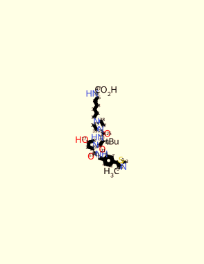 Cc1ncsc1-c1ccc(CNC(=O)[C@@H]2C[C@@H](O)CN2C(=O)[C@@H](NC(=O)N2CCN(CCCCCCNC(=O)O)CC2)C(C)(C)C)cc1